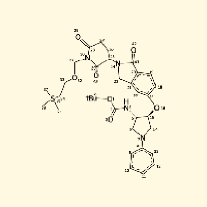 CC(C)(C)OC(=O)N[C@H]1CN(c2ccccc2)C[C@@H]1Oc1ccc2c(c1)CN(C1CCC(=O)N(COCCS(C)(C)C)C1=O)C2=O